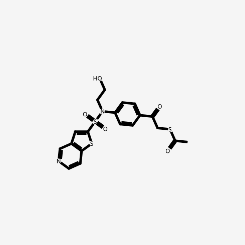 CC(=O)SCC(=O)c1ccc(N(CCO)S(=O)(=O)c2cc3cnccc3s2)cc1